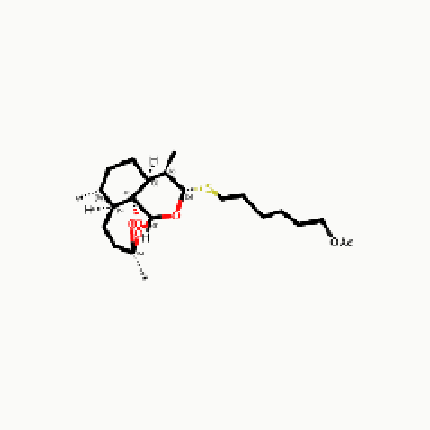 CC(=O)OCCCCCCS[C@@H]1O[C@@H]2O[C@]3(C)CC[C@H]4[C@H](C)CC[C@@H]([C@H]1C)[C@@]24OO3